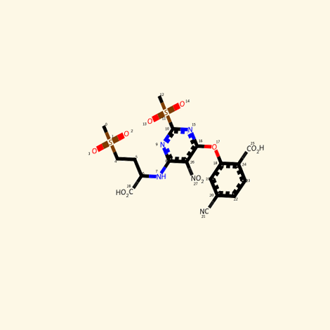 CS(=O)(=O)CCC(Nc1nc(S(C)(=O)=O)nc(Oc2cc(C#N)ccc2C(=O)O)c1[N+](=O)[O-])C(=O)O